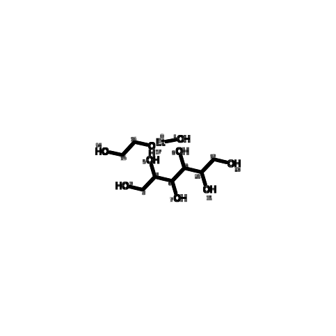 CCO.OCC(O)C(O)C(O)C(O)CO.OCCO